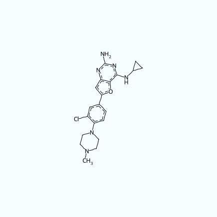 CN1CCN(c2ccc(-c3cc4nc(N)nc(NC5CC5)c4o3)cc2Cl)CC1